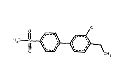 CCc1ccc(-c2ccc(S(C)(=O)=O)cc2)cc1Cl